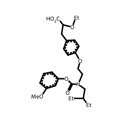 CCOC(Cc1ccc(OCCN(CC(CC)CC)C(=O)Oc2cccc(OC)c2)cc1)C(=O)O